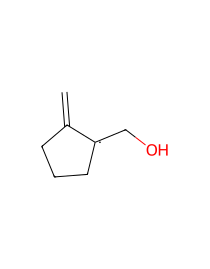 C=C1CCC[C]1CO